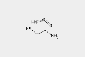 N=S=O.NCCS